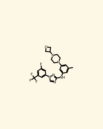 Cc1cc(Nc2ncn(-c3cc(F)cc(C(F)(F)F)c3)n2)cc(N2CCN(C3COC3)CC2)c1